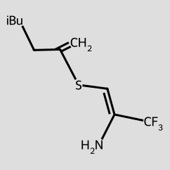 C=C(CC(C)CC)S/C=C(\N)C(F)(F)F